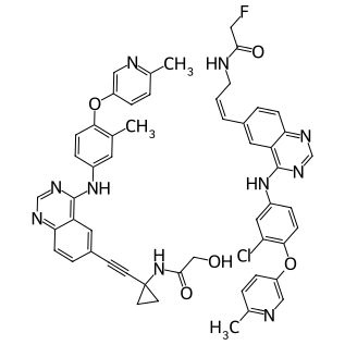 Cc1ccc(Oc2ccc(Nc3ncnc4ccc(/C=C\CNC(=O)CF)cc34)cc2Cl)cn1.Cc1ccc(Oc2ccc(Nc3ncnc4ccc(C#CC5(NC(=O)CO)CC5)cc34)cc2C)cn1